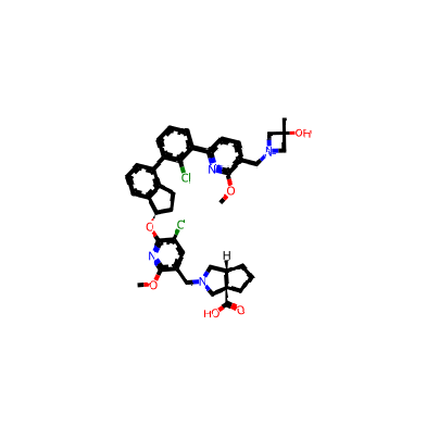 COc1nc(-c2cccc(-c3cccc4c3CC[C@@H]4Oc3nc(OC)c(CN4C[C@@H]5CCC[C@]5(C(=O)O)C4)cc3Cl)c2Cl)ccc1CN1CC(C)(O)C1